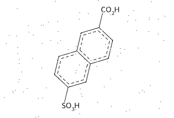 O=C(O)c1ccc2cc(S(=O)(=O)O)ccc2c1